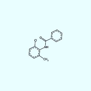 Cc1cccc(Cl)c1NC(=O)c1ccccc1